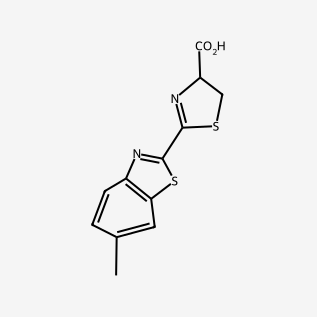 Cc1ccc2nc(C3=NC(C(=O)O)CS3)sc2c1